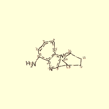 Nc1cccc2c1nc1n2C2CCC1C2